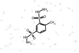 Cc1ccc(S(=O)(=O)NN)cc1S(=O)(=O)NN